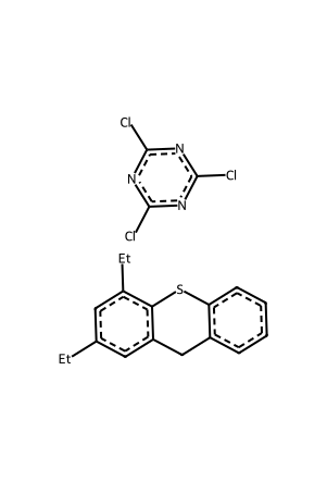 CCc1cc(CC)c2c(c1)Cc1ccccc1S2.Clc1nc(Cl)nc(Cl)n1